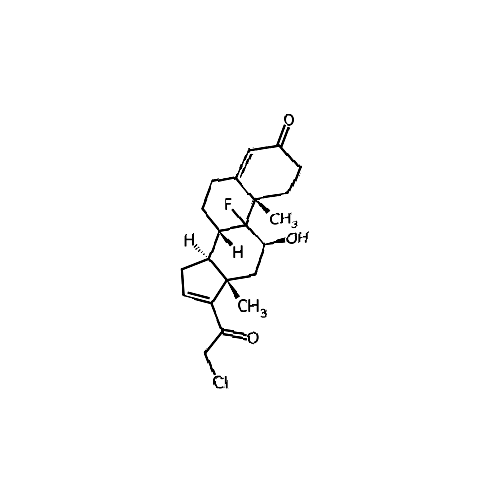 C[C@]12CCC(=O)C=C1CC[C@H]1[C@@H]3CC=C(C(=O)CCl)[C@@]3(C)C[C@H](O)C12F